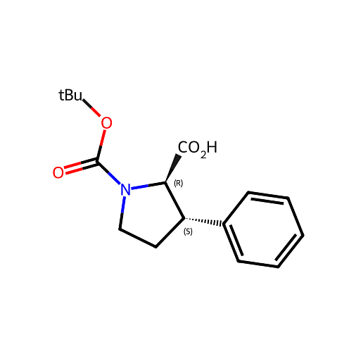 CC(C)(C)OC(=O)N1CC[C@@H](c2ccccc2)[C@@H]1C(=O)O